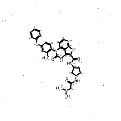 Cc1cc(Oc2ccccc2)ccc1N1C(=O)Nc2c(C(=O)NC3CC[C@@H](NC(=O)CN(C)C)C3)sc3nccc1c23